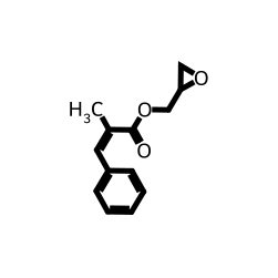 CC(=Cc1ccccc1)C(=O)OCC1CO1